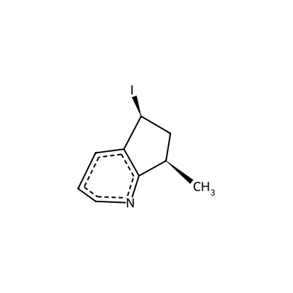 C[C@@H]1C[C@H](I)c2cccnc21